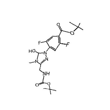 CN1C(CNC(=O)OC(C)(C)C)=NN(c2cc(F)c(C(=O)OC(C)(C)C)cc2F)C1O